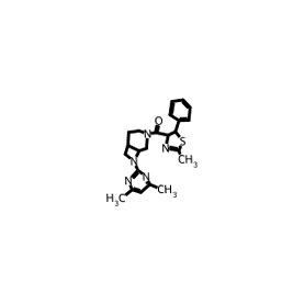 CC1=NC(C(=O)N2CCC3CN(c4nc(C)cc(C)n4)C3C2)C(c2ccccc2)S1